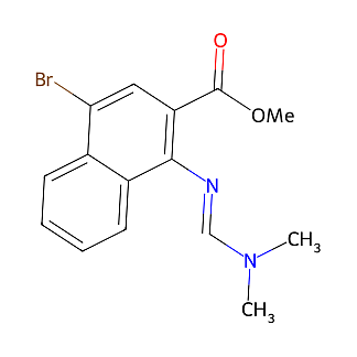 COC(=O)c1cc(Br)c2ccccc2c1N=CN(C)C